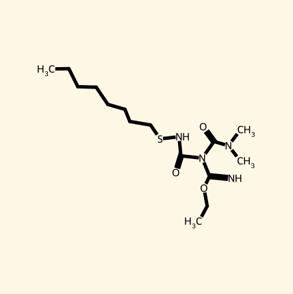 CCCCCCCCSNC(=O)N(C(=N)OCC)C(=O)N(C)C